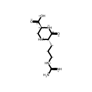 N=C(N)NCCC[C@@H]1NC[C@@H](C(=O)O)NC1=O